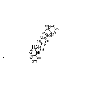 O=C(Nc1ccc2ccccc2n1)c1ccc(N2CC[C@H]3CCCC[C@H]3C2)cc1